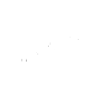 FC(F)(F)c1cccc(Nc2ccc3cc[nH]c3n2)c1